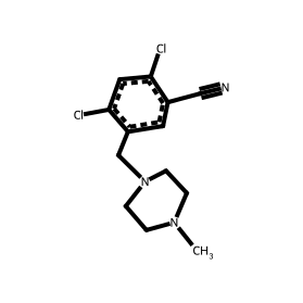 CN1CCN(Cc2cc(C#N)c(Cl)cc2Cl)CC1